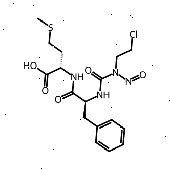 CSCC[C@H](NC(=O)[C@H](Cc1ccccc1)NC(=O)N(CCCl)N=O)C(=O)O